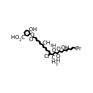 CC(/C=C/C=C/C(=O)OC1CC(C(=O)O)CCC1O)=C\C=C\C=C(/Cl)C(C)C(O)C(O)C(=O)CC(O)/C=C/C=C/C(C)C